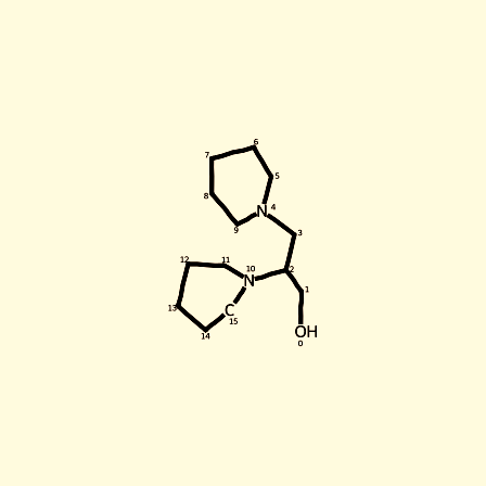 OCC(CN1CCCCC1)N1CCCCC1